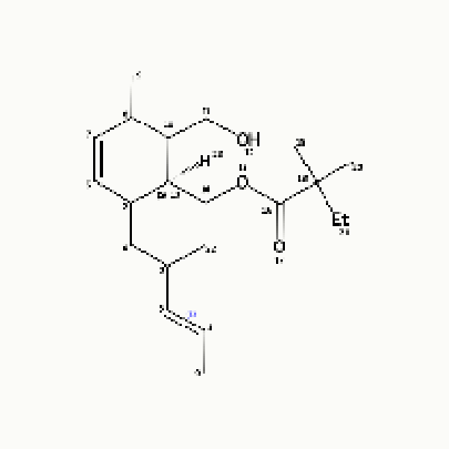 C/C=C/C1CC2C=CC(C)C(CO)[C@H]2C(OC(=O)C(C)(C)CC)C1